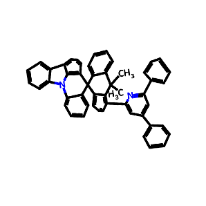 CC1(C)c2ccccc2C2(c3ccccc3-n3c4ccccc4c4cccc2c43)c2cccc(-c3cc(-c4ccccc4)cc(-c4ccccc4)n3)c21